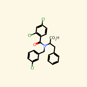 O=C(O)C(Cc1ccccc1)N(Cc1cccc(Cl)c1)C(=O)c1ccc(Cl)cc1Cl